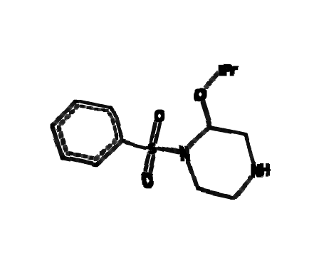 CC(C)OC1CNCCN1S(=O)(=O)c1ccccc1